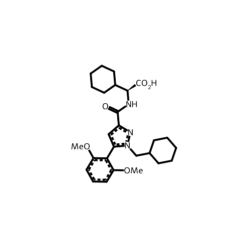 COc1cccc(OC)c1-c1cc(C(=O)N[C@H](C(=O)O)C2CCCCC2)nn1CC1CCCCC1